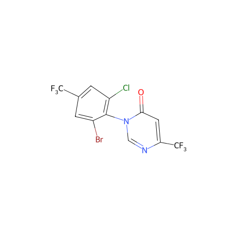 O=c1cc(C(F)(F)F)ncn1-c1c(Cl)cc(C(F)(F)F)cc1Br